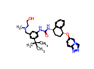 CN(CCO)Cc1cc(NC(=O)N[C@H]2CC[C@@H](Oc3ccc4nncn4c3)c3ccccc32)cc(C(C)(C)C)c1